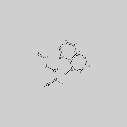 C=CCOC(C)=O.Cc1cccc2ccccc12